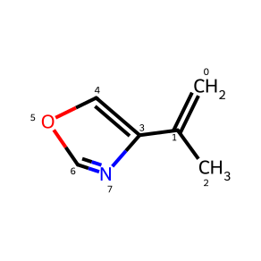 C=C(C)c1cocn1